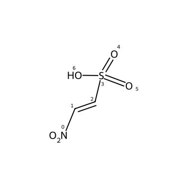 O=[N+]([O-])C=CS(=O)(=O)O